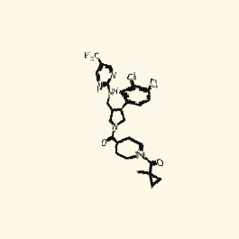 CC1(C(=O)N2CCC(C(=O)N3CC(CNc4ncc(C(F)(F)F)cn4)[C@@H](c4ccc(Cl)c(Cl)c4)C3)CC2)CC1